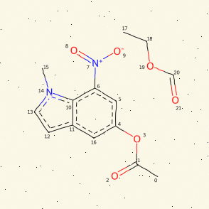 CC(=O)Oc1cc([N+](=O)[O-])c2c(ccn2C)c1.CCOC=O